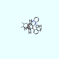 C=C(/C=c1/cccc/c1=C/C)NC(=O)CC(C)C(C)N(C)C(=O)NCc1cccc(F)c1O